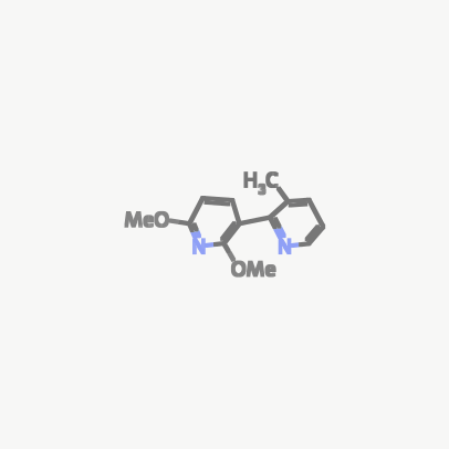 COc1ccc(-c2ncccc2C)c(OC)n1